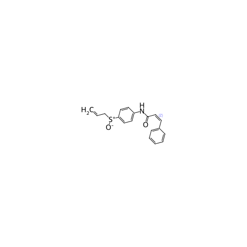 C=CC[S+]([O-])c1ccc(NC(=O)/C=C\c2ccccc2)cc1